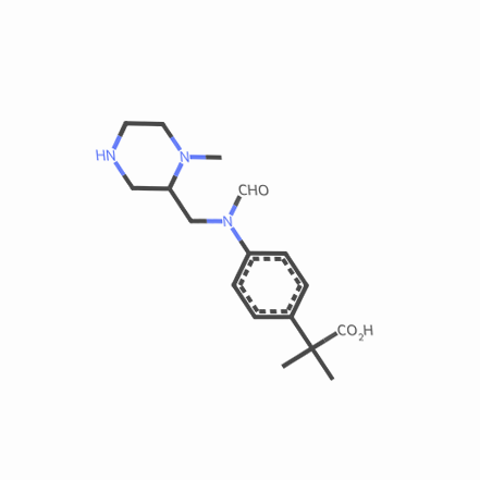 CN1CCNCC1CN(C=O)c1ccc(C(C)(C)C(=O)O)cc1